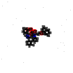 Cc1ccccc1-c1cccc2c1c(CN(C)Cc1ccccc1)c(OC(=O)O)n2CCCOc1cccc2ccccc12